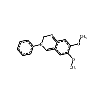 COc1cc2c(cc1OC)=NCN(c1ccccc1)C=2